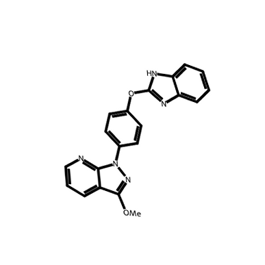 COc1nn(-c2ccc(Oc3nc4ccccc4[nH]3)cc2)c2ncccc12